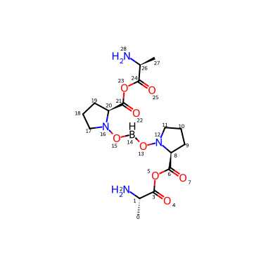 C[C@H](N)C(=O)OC(=O)[C@@H]1CCCN1OBON1CCC[C@H]1C(=O)OC(=O)[C@H](C)N